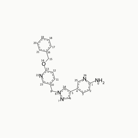 Nc1ccc(-c2cnn(Cc3ccc(OCc4ccccc4)nc3)c2)cn1